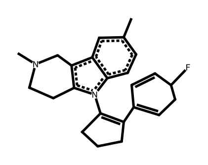 Cc1ccc2c(c1)c1c(n2C2=C(C3=CCC(F)C=C3)CCC2)CCN(C)C1